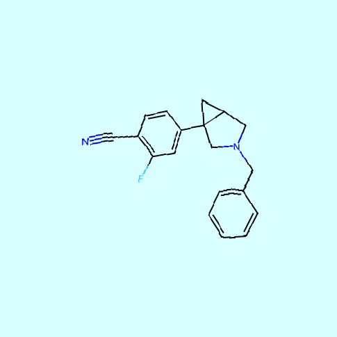 N#Cc1ccc(C23CC2CN(Cc2ccccc2)C3)cc1F